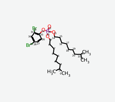 CC(C)CCCCCCCOP(=O)(OCCCCCCCC(C)C)Oc1ccc(Br)cc1Br